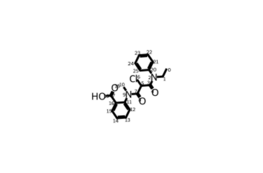 CCN(C(=O)C(Cl)C(=O)N(C)c1ccccc1C(=O)O)c1ccccc1